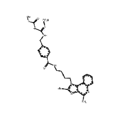 CCCCc1nc2c(N)nc3ccccc3c2n1CCCCNC(=O)c1ccc(CN/C(=N/C(=O)O)NC(=O)OC(C)(C)C)cc1